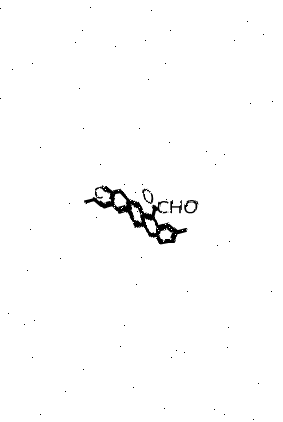 Cc1ccc2c(c1)C=c1cc3c(cc1C2)=C(C(=O)C=O)c1cc(C)ccc1C3